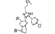 CCCC1=NN(c2cc3cccc(Br)c3cc2Br)N(c2ccc(Cl)cc2)N1